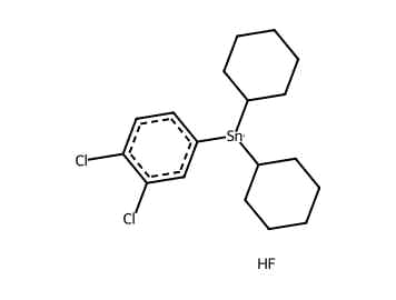 Clc1cc[c]([Sn]([CH]2CCCCC2)[CH]2CCCCC2)cc1Cl.F